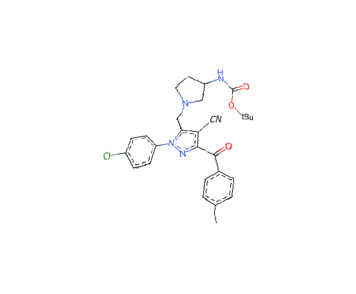 Cc1ccc(C(=O)c2nn(-c3ccc(Cl)cc3)c(CN3CCC(NC(=O)OC(C)(C)C)C3)c2C#N)cc1